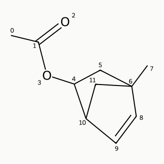 CC(=O)OC1CC2(C)C=CC1C2